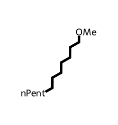 [CH2]OCCCCCCCCCCCC